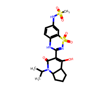 CC(C)N1C(=O)C(C2=NS(=O)(=O)c3cc(NS(C)(=O)=O)ccc3N2)=C(O)C2CCCC21